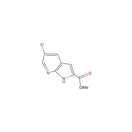 COC(=O)c1cc2cc(Cl)cnc2[nH]1